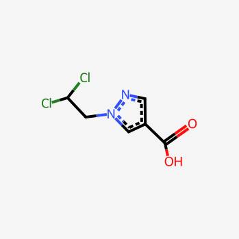 O=C(O)c1cnn(CC(Cl)Cl)c1